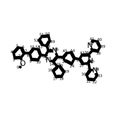 COc1ccccc1-c1ccc(-c2nc(-c3ccccc3)c(-c3ccc(-c4cc(-c5ccccn5)nc(-c5ccccn5)c4)cc3)nc2-c2ccccc2)cc1